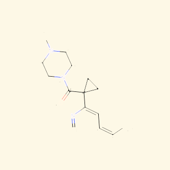 C=N/C(=C\C=C/C)C1(C(=O)N2CCN(C)CC2)CC1